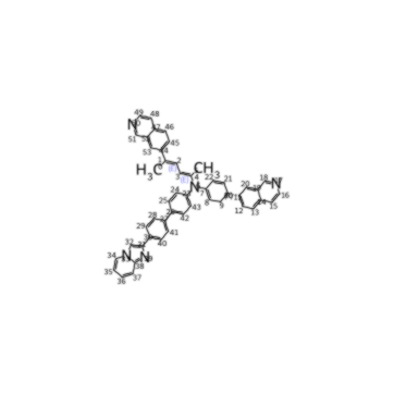 C/C(=C\C=C(/C)N(C1=CC[C@@H](c2ccc3ccncc3c2)C=C1)c1ccc(-c2ccc(-c3cn4ccccc4n3)cc2)cc1)c1ccc2ccncc2c1